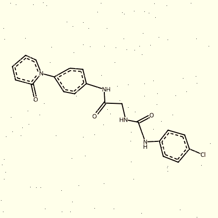 O=C(CNC(=O)Nc1ccc(Cl)cc1)Nc1ccc(-n2ccccc2=O)cc1